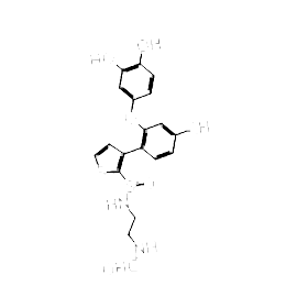 Cc1ccc(-c2ccsc2[S+]([O-])NCCNC=O)c(Oc2ccc(O)c(O)c2)c1